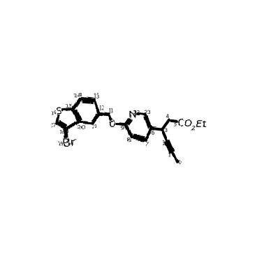 CC#CC(CC(=O)OCC)c1ccc(OCc2ccc3scc(Br)c3c2)nc1